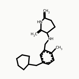 C=C1CCC(NCc2cc(CC3CCCCC3)ccc2C)C(=C)N1